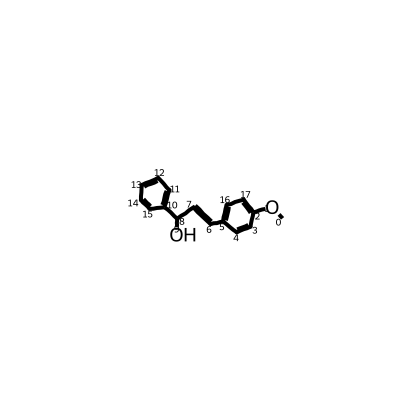 COc1ccc(C=CC(O)c2ccccc2)cc1